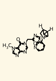 Cn1cnc2ncn(Cc3nc([C@@]45C6[C@H]4[C@H]5CN6c4cccnc4)no3)c(=O)c21